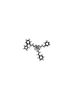 O=P(OCCCc1ccccc1)(OCCCc1ccccc1)OCCCc1ccccc1C1CCCC1